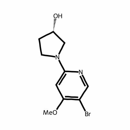 COc1cc(N2CC[C@H](O)C2)ncc1Br